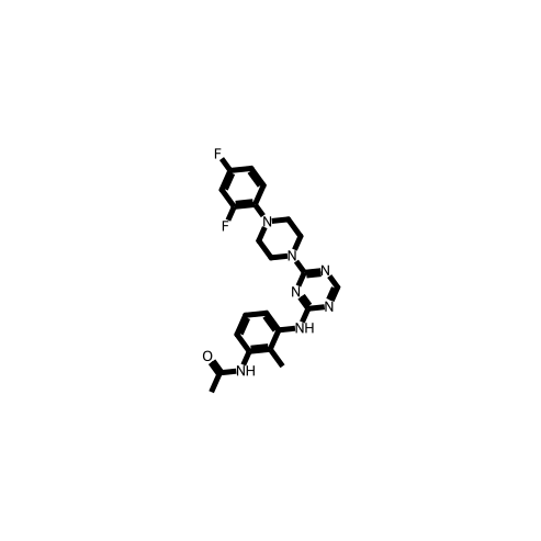 CC(=O)Nc1cccc(Nc2ncnc(N3CCN(c4ccc(F)cc4F)CC3)n2)c1C